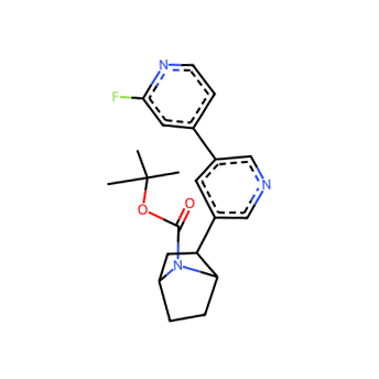 CC(C)(C)OC(=O)N1C2CCC1C(c1cncc(-c3ccnc(F)c3)c1)C2